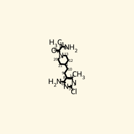 Cc1nc(Cl)nc(N)c1CCC1CCN(C(=O)[C@H](C)N)CC1